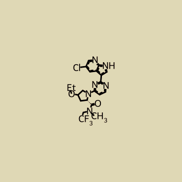 CCOC1C[C@@H](C(=O)N(C)CC(F)(F)F)N(c2ccnc(-c3c[nH]c4ncc(Cl)cc34)n2)C1